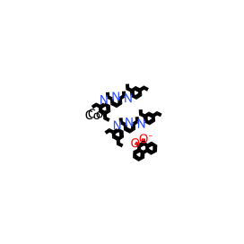 CCc1ccc(N=C(C)c2cccc(C(C)=Nc3ccc(CC)cc3CC)n2)c(CC)c1.CCc1ccc(N=C(C)c2cccc(C(C)=Nc3ccc(CC)cc3CC)n2)c(CC)c1.[Co+].[Co+].[O-]c1c([O-])c2ccccc2c2ccccc12